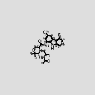 CC(=O)NC(C)CN1CC(C)(C)OCC1C(=O)Nc1cc(Cl)cc2c1[nH]c1cncc(F)c12